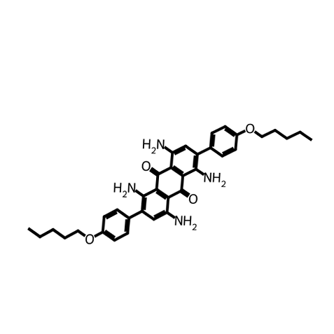 CCCCCOc1ccc(-c2cc(N)c3c(c2N)C(=O)c2c(N)cc(-c4ccc(OCCCCC)cc4)c(N)c2C3=O)cc1